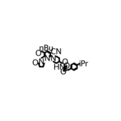 CCCCC(=O)c1cc(C#N)c(N2CCC(C(=O)NS(=O)(=O)Cc3ccc(C(C)C)cc3)CC2)nc1CN1CCCC1=O